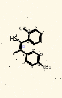 C/C(=C(\S)c1ccccc1Cl)c1ccc(C(C)(C)C)cc1